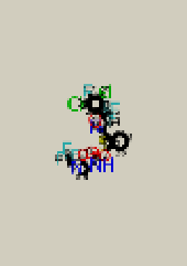 O=C(NC1CCN(CC(F)(F)F)C1=O)Oc1sc(C2=NOC(c3cc(Cl)c(F)c(Cl)c3)(C(F)(F)F)C2)c2c1CCCC2